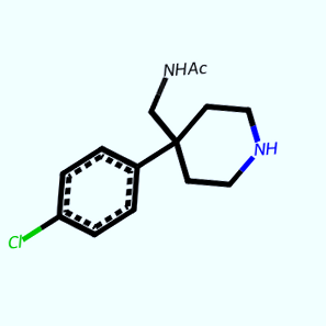 CC(=O)NCC1(c2ccc(Cl)cc2)CCNCC1